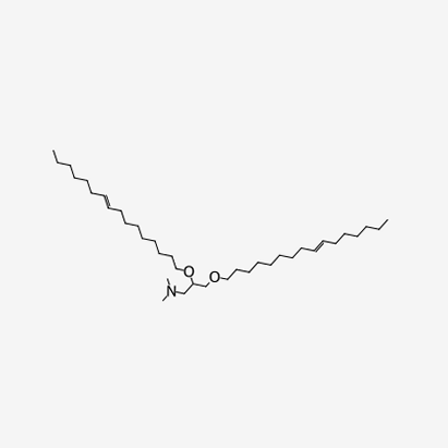 CCCCCCC=CCCCCCCCCOCC(CN(C)C)OCCCCCCCCC=CCCCCCC